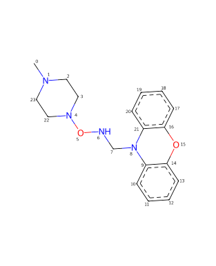 CN1CCN(ONCN2c3ccccc3Oc3ccccc32)CC1